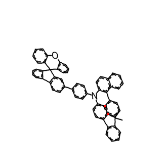 CC1(C)c2ccccc2-c2ccc(N(c3ccc(-c4ccc5c(c4)C4(c6ccccc6Oc6ccccc64)c4ccccc4-5)cc3)c3ccc4ccccc4c3-c3ccccc3)cc21